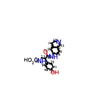 O=C(O)NCC(C(=O)Nc1ccc2cnccc2c1)c1ccc(O)cc1